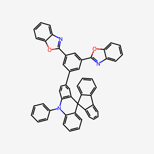 c1ccc(N2c3ccccc3C3(c4ccccc4-c4ccccc43)c3cc(-c4cc(-c5nc6ccccc6o5)cc(-c5nc6ccccc6o5)c4)ccc32)cc1